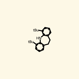 CC(C)(C)c1cccc2c1Nc1c(cccc1C(C)(C)C)CC2